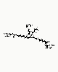 CCCCCCC(CCCCCC)OC(=O)CCCCCCCCC(CCCCCCCCC(=O)OC(CCCCCC)CCCCCC)N(CCCCN(C)C)C(=O)CCSSCCCC